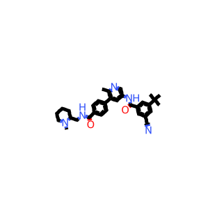 Cc1ncc(NC(=O)c2cc(C#N)cc(C(C)(C)C)c2)cc1-c1ccc(C(=O)NCC2CCCCN2C)cc1